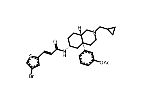 CC(=O)Oc1cccc([C@@]23CCN(CC4CC4)C[C@H]2CC[C@@H](NC(=O)C=Cc2cc(Br)cs2)C3)c1